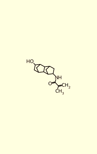 C=C(C)C(=O)NC1CC2CC1C1C3CC(O)C(C3)C21